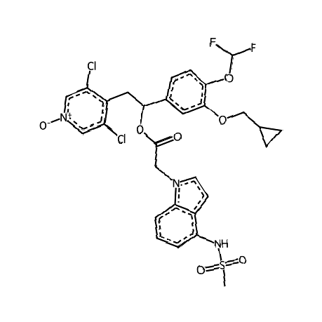 CS(=O)(=O)Nc1cccc2c1ccn2CC(=O)OC(Cc1c(Cl)c[n+]([O-])cc1Cl)c1ccc(OC(F)F)c(OCC2CC2)c1